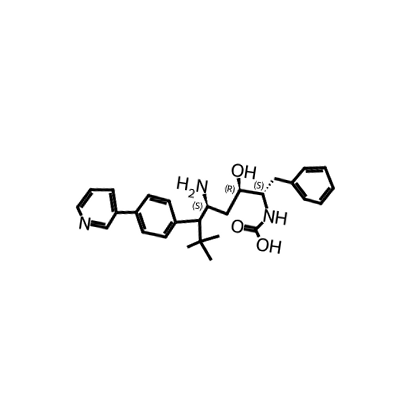 CC(C)(C)C(c1ccc(-c2cccnc2)cc1)[C@@H](N)C[C@@H](O)[C@H](Cc1ccccc1)NC(=O)O